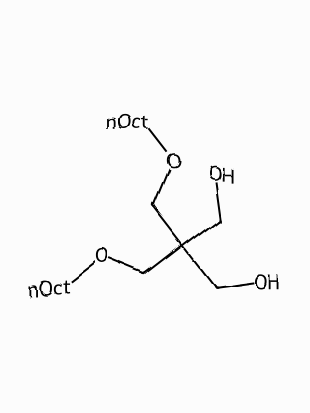 CCCCCCCCOCC(CO)(CO)COCCCCCCCC